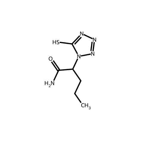 CCCC(C(N)=O)n1nnnc1S